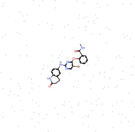 CNC(=O)c1ccccc1Oc1nc(Nc2ccc3c(c2)CCC(=O)N3)ncc1Br